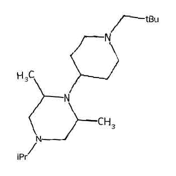 CC(C)N1CC(C)N(C2CCN(CC(C)(C)C)CC2)C(C)C1